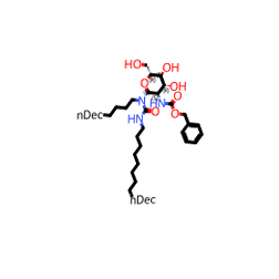 CCCCCCCCCCCCCCCCCCNC(=O)N(CCCCCCCCCCCCCC)[C@@H]1O[C@H](CO)[C@@H](O)[C@H](O)[C@@H]1NC(=O)OCc1ccccc1